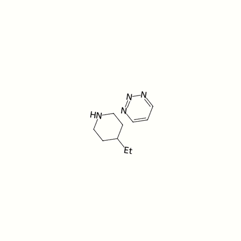 CCC1CCNCC1.c1cnnnc1